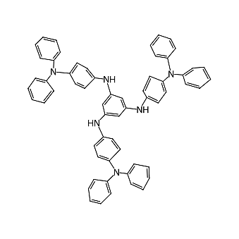 c1ccc(N(c2ccccc2)c2ccc(Nc3cc(Nc4ccc(N(c5ccccc5)c5ccccc5)cc4)cc(Nc4ccc(N(c5ccccc5)c5ccccc5)cc4)c3)cc2)cc1